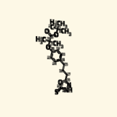 CC(C)(C)OC(=O)C(C)(C)Oc1ccc(CCCc2n[nH]c(=S)o2)cc1